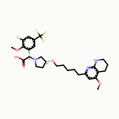 COc1cc(CCCCCO[C@@H]2CCN([C@H](C(=O)O)c3cc(C(F)(F)F)cc(F)c3OC)C2)nc2c1CCCN2